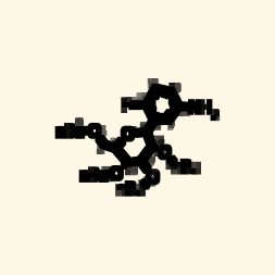 CCCCOCC1OC(c2cc(N)ccc2F)[C@H](OCCCC)C(OCCCC)[C@@H]1OCCCC